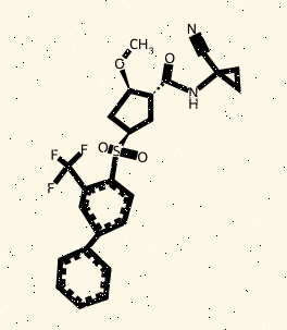 CO[C@@H]1C[C@H](S(=O)(=O)c2ccc(-c3ccccc3)cc2C(F)(F)F)C[C@H]1C(=O)NC1(C#N)CC1